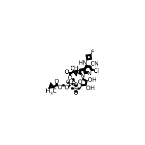 CC1(C(=O)OCOP(=O)(CS(=O)(=O)C[C@H]2O[C@@H](n3ccc4c(N[C@H]5C[C@@H](F)C5)c(C#N)c(Cl)nc43)[C@H](O)[C@@H]2O)OCOC(=O)C2(C)CC2)CC1